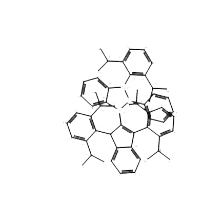 CC(C)c1cccc(C(C)C)c1C1=C(N2B(c3ccccc3)N(c3c(C(C)C)cccc3C(C)C)c3ccccc32)C(c2c(C(C)C)cccc2C(C)C)c2ccccc21